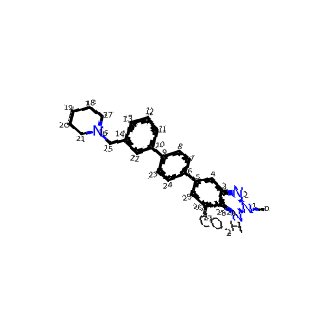 Cn1nc2cc(-c3ccc(-c4cccc(CN5CCCCC5)c4)cc3)cc(C(=O)O)c2n1